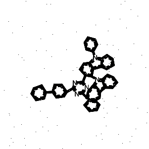 c1ccc(-c2ccc(-c3nc(-c4ccccc4)nc(-c4ccc5c(c4-n4c6ccccc6c6ccccc64)c4ccccc4n5-c4ccccc4)n3)cc2)cc1